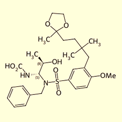 COc1ccc(S(=O)(=O)N(Cc2ccccc2)[C@H](NC(=O)O)[C@@H](C)O)cc1CC(C)(C)CCC1(C)OCCO1